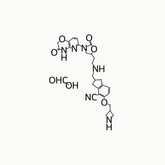 N#Cc1c(OCC2CNC2)ccc2c1CC(CNCCC1CN(c3ccc4c(n3)NC(=O)CO4)C(=O)O1)C2.O=CO